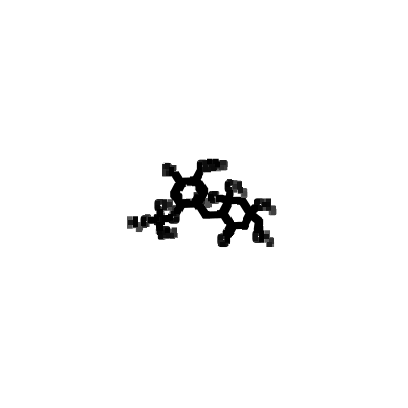 C=CC1(C)CC(=O)C(Cc2cc(OC)c(Br)cc2O[Si](C)(C)C(C)(C)C)C(C)(C)C1